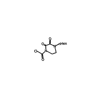 CCCCCCN1CCN(C(=O)Cl)C(=O)C1=O